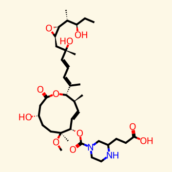 CC[C@@H](O)[C@@H](C)[C@H]1O[C@@H]1C[C@](C)(O)/C=C/C=C(\C)[C@H]1OC(=O)C[C@@H](O)CC[C@](C)(OC)[C@@H](OC(=O)N2CCNC(CCC(=O)O)C2)/C=C/[C@@H]1C